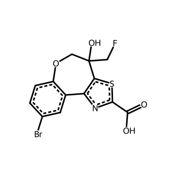 O=C(O)c1nc2c(s1)C(O)(CF)COc1ccc(Br)cc1-2